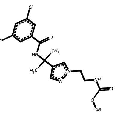 CC(C)(C)OC(=O)NCCn1cc(C(C)(C)NC(=O)c2cc(Cl)cc(Cl)c2)cn1